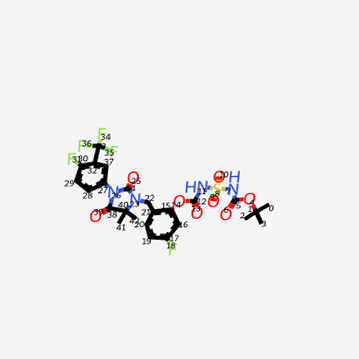 CC(C)(C)OC(=O)NS(=O)(=O)NC(=O)Oc1cc(F)ccc1CN1C(=O)N(c2ccc(F)c(C(F)(F)F)c2)C(=O)C1(C)C